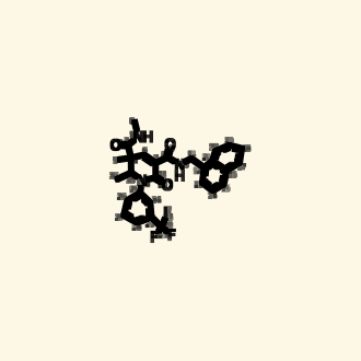 CNC(=O)C1(C)C=C(C(=O)NCc2cccc3ccccc23)C(=O)N(c2cccc(C(F)(F)F)c2)C1C